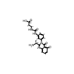 C[C@H](N)c1nc2cccc(Cl)c2c(=O)n1-c1cccc(NC(=O)NCCC(=O)O)c1